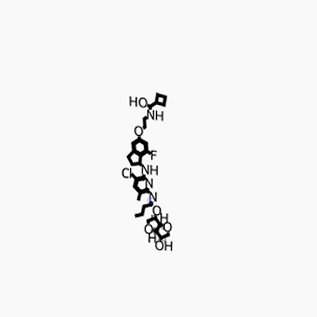 CCC/C(=N\c1nc(NC2CCc3cc(OCCNC(O)C4CCC4)cc(F)c32)c(Cl)cc1C)O[C@@H]1CO[C@H]2[C@@H]1OC[C@H]2O